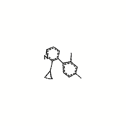 Cc1ccc(-c2cccnc2C2CC2)c(C)c1